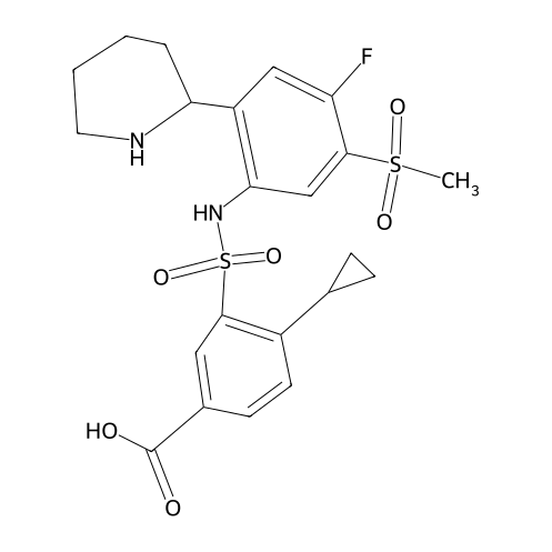 CS(=O)(=O)c1cc(NS(=O)(=O)c2cc(C(=O)O)ccc2C2CC2)c(C2CCCCN2)cc1F